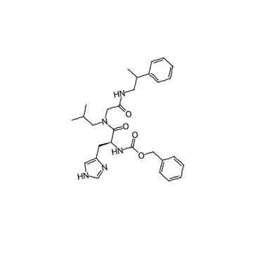 CC(C)CN(CC(=O)NCC(C)c1ccccc1)C(=O)[C@H](Cc1c[nH]cn1)NC(=O)OCc1ccccc1